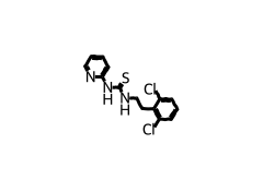 S=C(NCCc1c(Cl)cccc1Cl)Nc1ccccn1